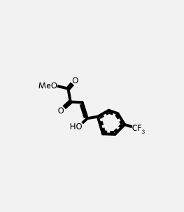 COC(=O)C(=O)/C=C(\O)c1ccc(C(F)(F)F)cc1